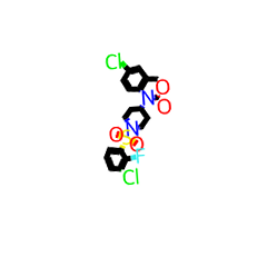 O=C1OCc2cc(Cl)ccc2N1C1CCN(S(=O)(=O)c2cccc(Cl)c2F)CC1